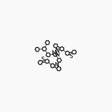 c1ccc(-c2cc(-c3ccccc3)cc(-c3cccc(-c4cc(-c5cccc(-n6c7ccccc7c7ccc(-c8ccc9sc%10ccccc%10c9c8)cc76)c5)nc(-n5c6ccccc6c6ccc(-c7ccc8sc9ccccc9c8c7)cc65)n4)c3)c2)cc1